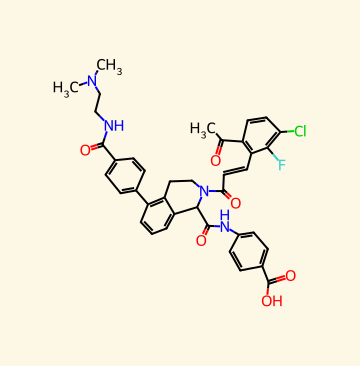 CC(=O)c1ccc(Cl)c(F)c1C=CC(=O)N1CCc2c(-c3ccc(C(=O)NCCN(C)C)cc3)cccc2C1C(=O)Nc1ccc(C(=O)O)cc1